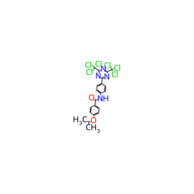 CC(C)Oc1ccc(C(=O)Nc2ccc(-c3nc(C(Cl)(Cl)Cl)nc(C(Cl)(Cl)Cl)n3)cc2)cc1